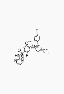 O=S(=O)(Nc1ncccn1)c1cc2c(cc1F)[C@H](N1CC[C@@H](C(F)(F)F)C[C@H]1c1ccc(F)cc1)CCO2